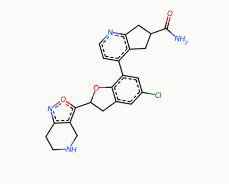 NC(=O)C1Cc2nccc(-c3cc(Cl)cc4c3OC(c3onc5c3CNCC5)C4)c2C1